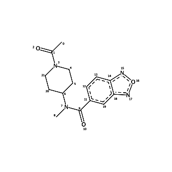 CC(=O)N1CCC(N(C)C(=O)c2ccc3nonc3c2)CC1